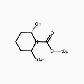 CC(=O)OC1CCC[C@H](O)N1C(=O)OC(C)(C)C